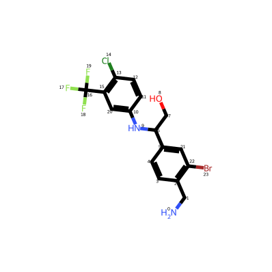 NCc1ccc(C(CO)Nc2ccc(Cl)c(C(F)(F)F)c2)cc1Br